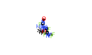 [2H]C([2H])([2H])Oc1nc(N[C@@H]2CCN(C3COC3)C[C@@H]2F)nn2cc(F)c(-c3cc(F)c4ncn(CC(F)F)c4c3)c12